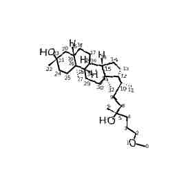 COCCC[C@](C)(O)CC[C@@H](C)[C@H]1CC[C@H]2[C@@H]3CC[C@H]4C[C@@](C)(O)CC[C@]4(C)[C@H]3CC[C@]12C